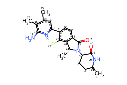 C=C1CCC(N2C(=O)c3ccc(-c4cc(C)c(C)c(N)n4)c(F)c3[C@H]2C)C(=O)N1